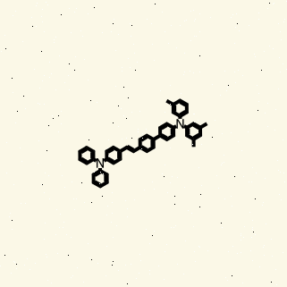 Cc1cccc(N(c2ccc(-c3ccc(/C=C/c4ccc(N(c5ccccc5)c5ccccc5)cc4)cc3)cc2)c2cc(C)cc(C)c2)c1